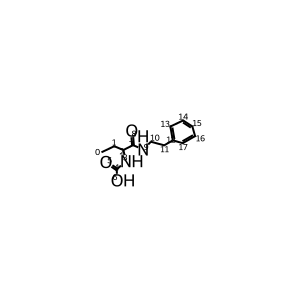 CCC(NC(=O)O)C(=O)NCCc1ccccc1